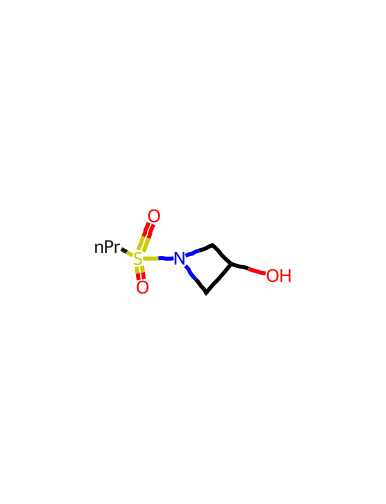 CCCS(=O)(=O)N1CC(O)C1